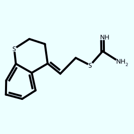 N=C(N)SCC=C1CCSc2ccccc21